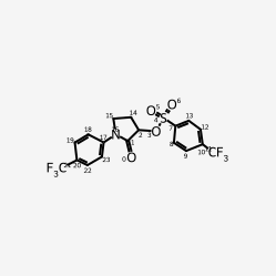 O=C1C(OS(=O)(=O)c2ccc(C(F)(F)F)cc2)CCN1c1ccc(C(F)(F)F)cc1